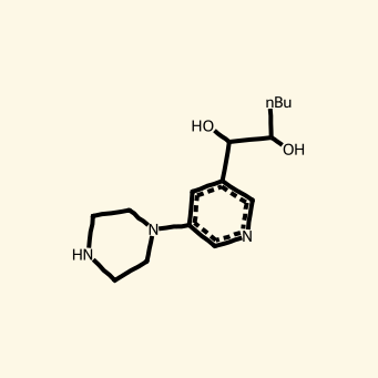 CCCCC(O)C(O)c1cncc(N2CCNCC2)c1